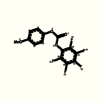 COc1ccc(OC(=O)Oc2c(F)c(F)c(F)c(F)c2F)cc1